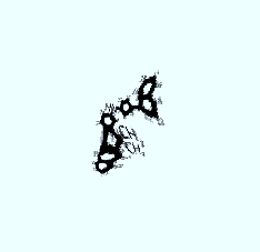 CC1(C)c2cc(Nc3ccc(-c4cccc5ccccc45)cc3)ccc2-c2cc3ccccc3cc21